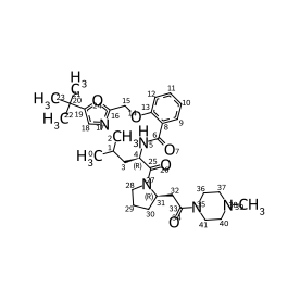 CC(C)C[C@@H](NC(=O)c1ccccc1OCc1ncc(C(C)(C)C)o1)C(=O)N1CCC[C@@H]1CC(=O)N1CCN(C)CC1